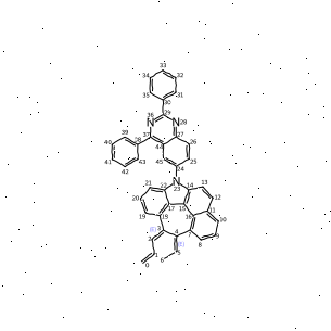 C=C/C=C1\C(=C/C)c2cccc3ccc4c(c23)c2c1cccc2n4-c1ccc2nc(-c3ccccc3)nc(-c3ccccc3)c2c1